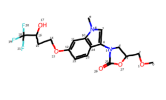 COCC1CN(c2cn(C)c3cc(OCCC(O)C(F)(F)F)ccc23)C(=O)O1